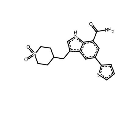 NC(=O)c1cc(-c2cccs2)cc2c(CC3CCS(=O)(=O)CC3)c[nH]c12